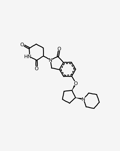 O=C1CCC(N2Cc3cc(O[C@@H]4CCC[C@@H]4N4CCCCC4)ccc3C2=O)C(=O)N1